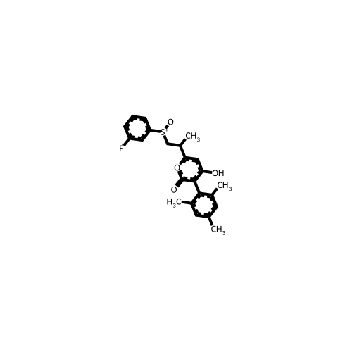 Cc1cc(C)c(-c2c(O)cc(C(C)C[S+]([O-])c3cccc(F)c3)oc2=O)c(C)c1